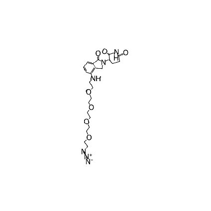 [N-]=[N+]=NCCOCCOCCOCCOCCNc1cccc2c1CN(C1CCC(=O)NC1=O)C2=O